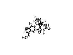 C[C@H]1CN2c3c(cc4c(CO)noc4c3F)CC3(C(=O)NC(=O)NC3=O)[C@@H]2[C@@H](C)O1